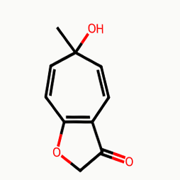 CC1(O)C=CC2=C(C=C1)C(=O)CO2